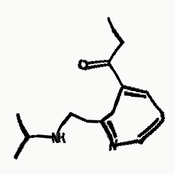 CCC(=O)c1cccnc1CNC(C)C